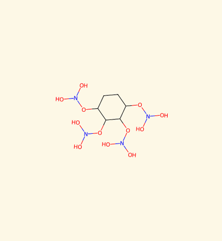 ON(O)OC1CCC(ON(O)O)C(ON(O)O)C1ON(O)O